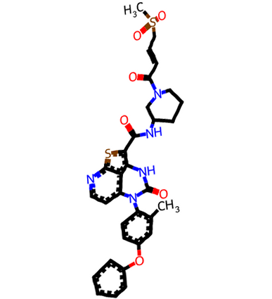 Cc1cc(Oc2ccccc2)ccc1N1C(=O)Nc2c(C(=O)NC3CCCN(C(=O)C=CCS(C)(=O)=O)C3)sc3nccc1c23